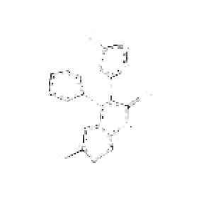 N#Cc1cc(-c2c(-c3ccccc3)c3cc(Cl)ccc3[nH]c2=O)on1